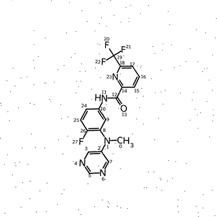 CN(c1cncnc1)c1cc(NC(=O)c2cccc(C(F)(F)F)n2)ccc1F